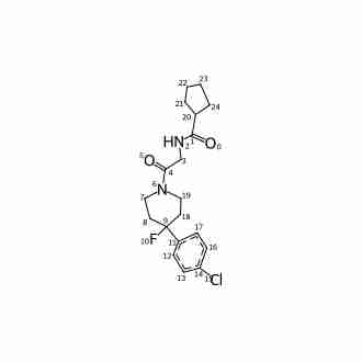 O=C(NCC(=O)N1CCC(F)(c2ccc(Cl)cc2)CC1)C1CCCC1